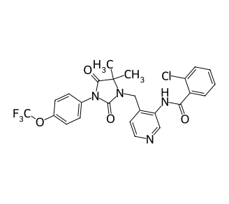 CC1(C)C(=O)N(c2ccc(OC(F)(F)F)cc2)C(=O)N1Cc1ccncc1NC(=O)c1ccccc1Cl